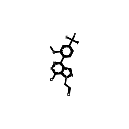 COc1cc(C(F)(F)F)ccc1-c1nnc(Cl)c2c1cnn2CC=O